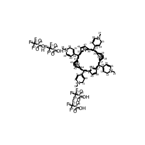 CN1C=CC(c2c3nc(c(C4=CCN(C)C=C4)c4ccc([nH]4)c(C4=CCN(C)C=C4)c4nc(c(C5=CCN(C)C=C5)c5ccc2[nH]5)C=C4)C=C3)=CC1.O=S(=O)(O)C(F)(F)F.O=S(=O)(O)C(F)(F)F.O=S(=O)(O)C(F)(F)F.O=S(=O)(O)C(F)(F)F